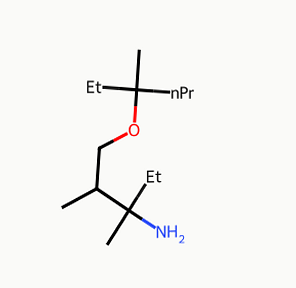 CCCC(C)(CC)OCC(C)C(C)(N)CC